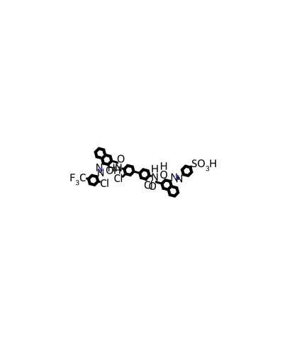 O=C(Nc1ccc(-c2ccc(NC(=O)c3cc4ccccc4c(/N=N/c4cc(C(F)(F)F)ccc4Cl)c3O)c(Cl)c2)cc1Cl)c1cc2ccccc2c(/N=N/c2ccc(S(=O)(=O)O)cc2)c1O